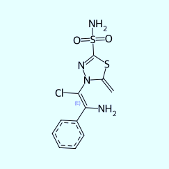 C=C1SC(S(N)(=O)=O)=NN1/C(Cl)=C(\N)c1ccccc1